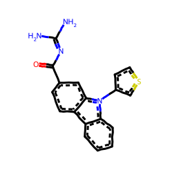 NC(N)=NC(=O)c1ccc2c3ccccc3n(-c3ccsc3)c2c1